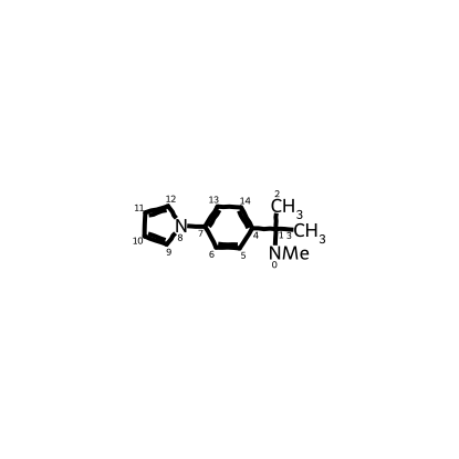 CNC(C)(C)c1ccc(-n2cccc2)cc1